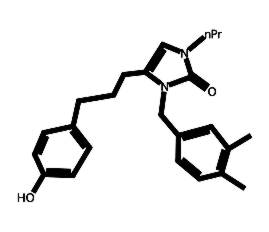 CCCn1cc(CCCc2ccc(O)cc2)n(Cc2ccc(C)c(C)c2)c1=O